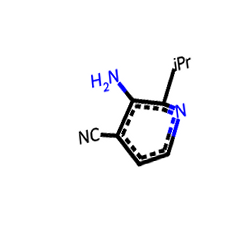 CC(C)c1nccc(C#N)c1N